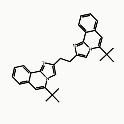 CC(C)(C)c1cc2ccccc2c2nc(CCc3cn4c(C(C)(C)C)cc5ccccc5c4n3)cn12